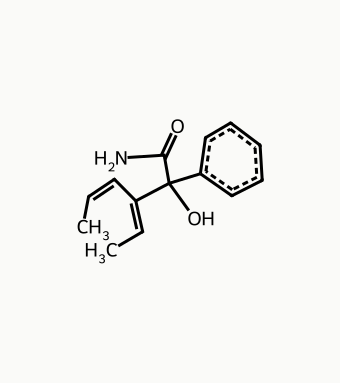 C/C=C\C(=C/C)C(O)(C(N)=O)c1ccccc1